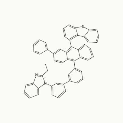 CCc1nc2ccccc2n1-c1cccc(-c2cccc(-c3c4ccccc4c(-c4cccc5sc6ccccc6c45)c4cc(-c5ccccc5)ccc34)c2)c1